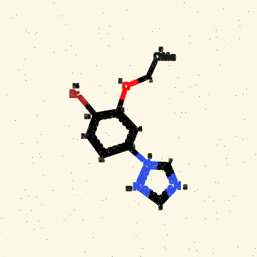 COCOc1cc(-n2cncn2)ccc1Br